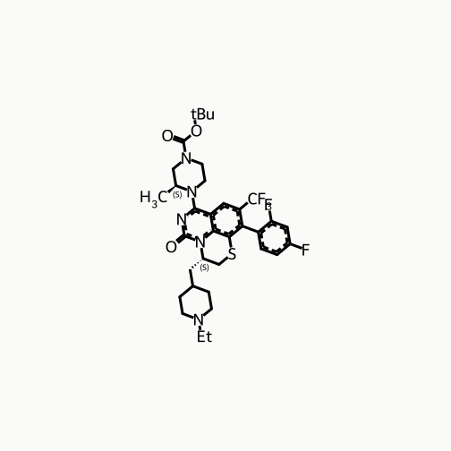 CCN1CCC(C[C@H]2CSc3c(-c4ccc(F)cc4F)c(C(F)(F)F)cc4c(N5CCN(C(=O)OC(C)(C)C)C[C@@H]5C)nc(=O)n2c34)CC1